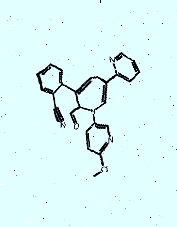 COc1ccc(N2C=C(c3ccccn3)C=C(c3ccccc3C#N)C2C=O)cn1